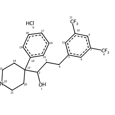 Cl.OC(CCc1cc(C(F)(F)F)cc(C(F)(F)F)c1)C1(c2ccccc2)CCNCC1